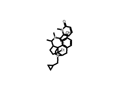 CCC12CCC(C(C)N(C)C(=O)c3cccc(=O)n3C)C13CCN(CC1CC1)C2Cc1ccc(O)cc13